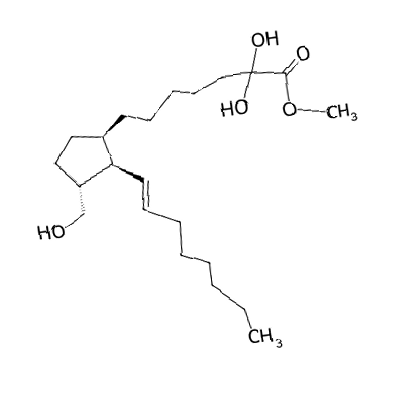 CCCCCCC=C[C@@H]1[C@H](CCCCCC(O)(O)C(=O)OC)CC[C@H]1CO